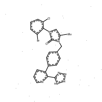 CCCCc1cn(-c2c(Cl)cccc2Br)c(=O)n1Cc1ccc(-c2cccnc2-c2nnn[nH]2)cc1